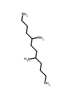 NCCCC(N)CCC(N)CCCN